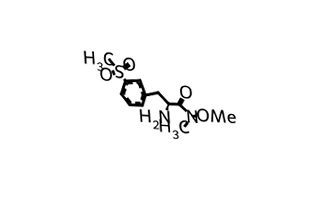 CON(C)C(=O)[C@@H](N)Cc1cccc(S(C)(=O)=O)c1